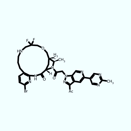 CC(=O)c1nn(CC(=O)N2[C@H]3C[C@](C)(COCC(F)(F)CNCCCc4ccc(Br)nc4NC3=O)[C@H]2C)c2cnc(-c3cnc(C)nc3)cc12